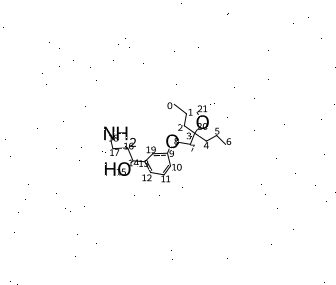 CCCC(CCC)(COc1cccc(C(O)CCN)c1)OC